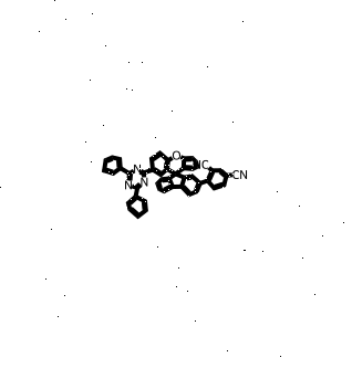 N#Cc1ccc(-c2ccc3c(c2)C2(c4ccccc4Oc4ccc(-c5nc(-c6ccccc6)nc(-c6ccccc6)n5)cc42)c2ccccc2-3)c(C#N)c1